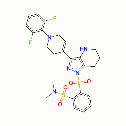 CN(C)S(=O)(=O)c1ccccc1S(=O)(=O)n1nc(C2=CCN(c3c(F)cccc3F)CC2)c2c1CCCN2